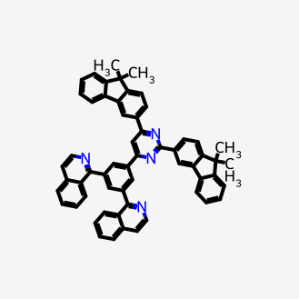 CC1(C)c2ccccc2-c2cc(-c3cc(-c4cc(-c5nccc6ccccc56)cc(-c5nccc6ccccc56)c4)nc(-c4ccc5c(c4)-c4ccccc4C5(C)C)n3)ccc21